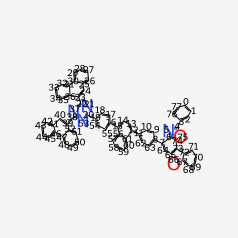 c1ccc(-c2nc3c(-c4ccc(-c5ccc(-c6ccc(-c7nc(-c8cc9ccccc9c9ccccc89)nc(-c8cc9ccccc9c9ccccc89)n7)cc6)c6ccccc56)cc4)cc4oc5ccccc5c4c3o2)cc1